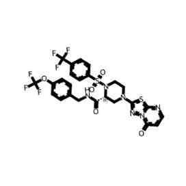 O=C(NCc1ccc(OC(F)(F)F)cc1)[C@H]1CN(c2nn3c(=O)ccnc3s2)CCN1S(=O)(=O)c1ccc(C(F)(F)F)cc1